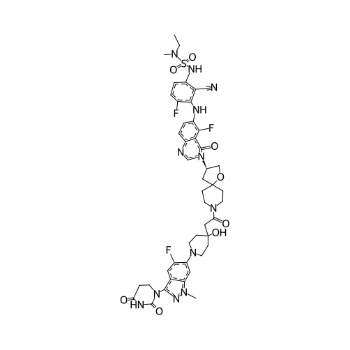 CCN(C)S(=O)(=O)Nc1ccc(F)c(Nc2ccc3ncn([C@H]4COC5(CCN(C(=O)CC6(O)CCN(c7cc8c(cc7F)c(N7CCC(=O)NC7=O)nn8C)CC6)CC5)C4)c(=O)c3c2F)c1C#N